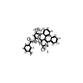 CC(C)(C)c1cc(NC(=O)c2cccc(F)c2)n(-c2nc(C(F)(F)F)nc(-c3ccccc3)c2-c2ccccc2)n1